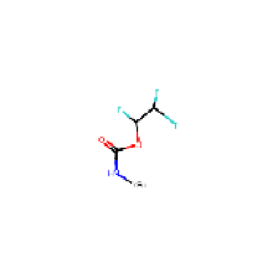 CCCCNC(=O)OC(F)C(F)F